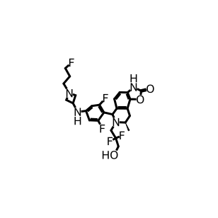 C[C@@H]1Cc2c(ccc3[nH]c(=O)oc23)C(c2c(F)cc(NC3CN(CCCF)C3)cc2F)N1CC(F)(F)CO